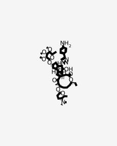 CC[C@H]1CCC[C@H](O[C@H]2CC[C@H](N(C)C)C(C)O2)[C@@H](C)C(=O)C2=C[C@H]3[C@@H]4C[C@H](O[C@@H]5OC(C)[C@H](OC)C(OC)C5OC)C[C@H]4C(n4cc(-c5ccc(N)cc5)nn4)C(O)[C@H]3[C@@H]2CC(=O)O1